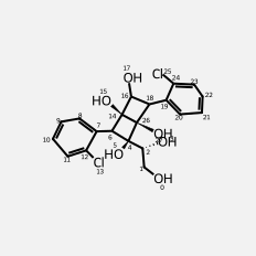 OC[C@@H](O)[C@]1(O)C(c2ccccc2Cl)[C@]2(O)C(O)C(c3ccccc3Cl)[C@@]21O